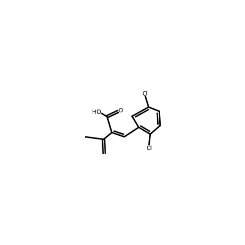 C=C(C)C(=Cc1cc(Cl)ccc1Cl)C(=O)O